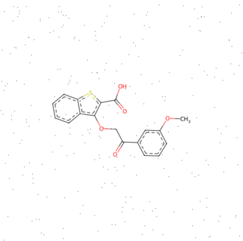 COc1cccc(C(=O)COc2c(C(=O)O)sc3ccccc23)c1